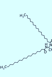 CCCCCCCCCCCCCCCCCC(=O)NC(C)n1ccnc1CCCCCCCCCCCCCCCCC